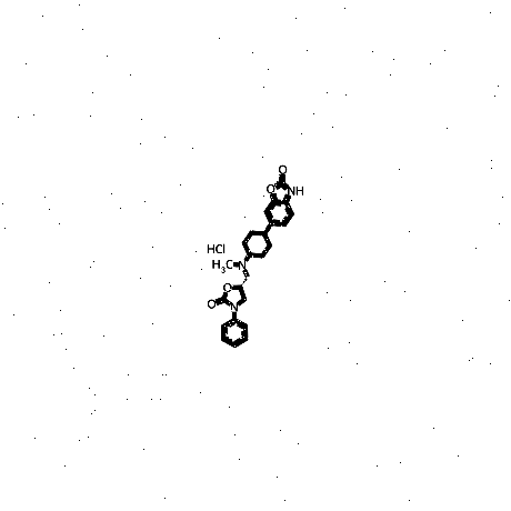 CN(C[C@@H]1CN(c2ccccc2)C(=O)O1)C1CCC(c2ccc3[nH]c(=O)oc3c2)CC1.Cl